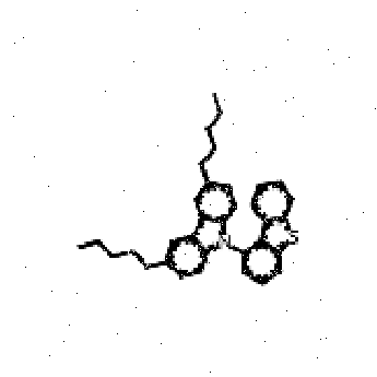 CCCCCc1ccc2c(c1)c1cc(CCCCC)ccc1n2-c1cccc2sc3ccccc3c12